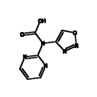 O=C(O)N(c1conn1)c1ncccn1